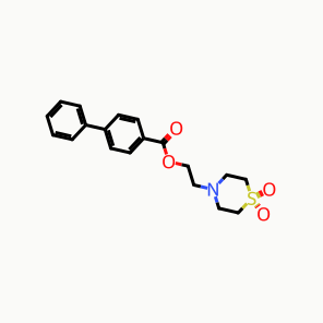 O=C(OCCN1CCS(=O)(=O)CC1)c1ccc(-c2ccccc2)cc1